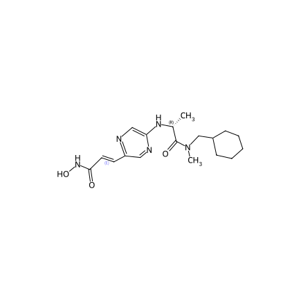 C[C@@H](Nc1cnc(/C=C/C(=O)NO)cn1)C(=O)N(C)CC1CCCCC1